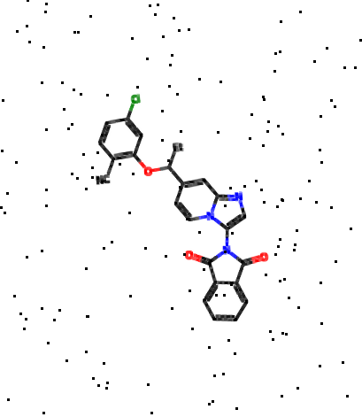 CCC(Oc1cc(Cl)ccc1C#N)c1ccn2c(N3C(=O)c4ccccc4C3=O)cnc2c1